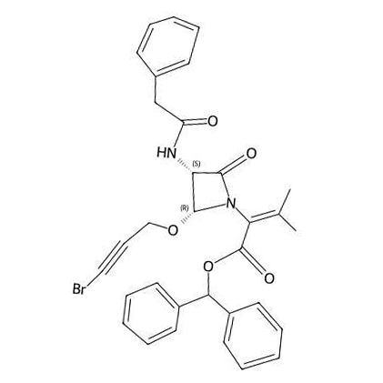 CC(C)=C(C(=O)OC(c1ccccc1)c1ccccc1)N1C(=O)[C@@H](NC(=O)Cc2ccccc2)[C@H]1OCC#CBr